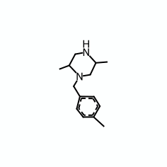 Cc1ccc(CN2CC(C)NCC2C)cc1